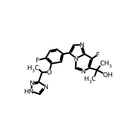 CC(Oc1cc(-c2cnc3c(F)c(C(C)(C)O)ncn23)ccc1F)c1nc[nH]n1